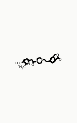 Cc1ccc(CC(=O)N2CCN(CCc3ccc4c(c3)COC4=O)CC2)nc1C